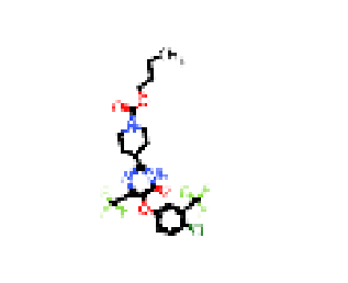 CCCCOC(=O)N1CCC(c2nc(C(F)(F)F)c(Oc3ccc(Cl)c(C(F)(F)F)c3)c(=O)[nH]2)CC1